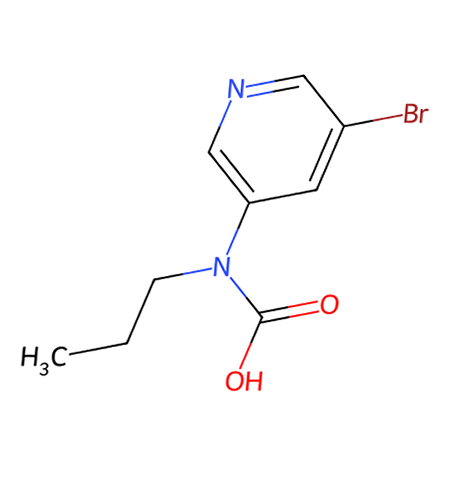 CCCN(C(=O)O)c1cncc(Br)c1